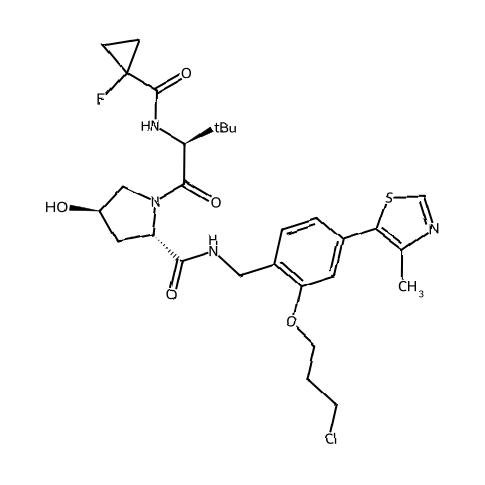 Cc1ncsc1-c1ccc(CNC(=O)[C@@H]2C[C@@H](O)CN2C(=O)[C@@H](NC(=O)C2(F)CC2)C(C)(C)C)c(OCCCCl)c1